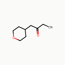 N#CCC(=O)CC1CCOCC1